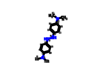 CCN(CC)c1ccc(NNc2ccc(N(C)C)cc2)cc1